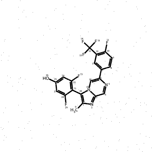 Cc1nc2cnc(-c3ccc(F)c(C(F)(F)F)c3)cn2c1-c1c(F)cc(O)cc1F